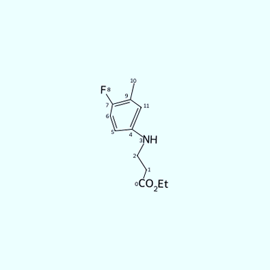 CCOC(=O)CCNc1ccc(F)c(C)c1